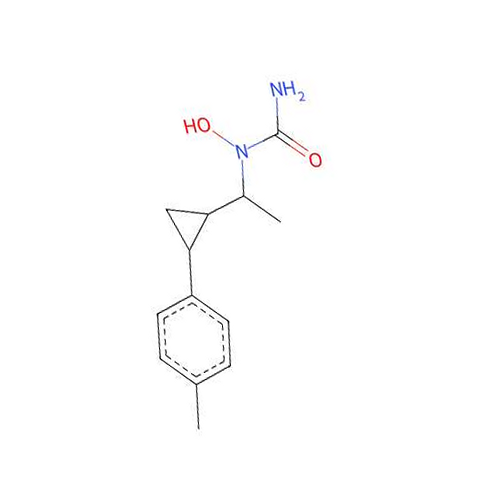 Cc1ccc(C2CC2C(C)N(O)C(N)=O)cc1